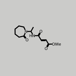 COC(=O)C=CC(=O)NC(C)N1CCCCCC1=O